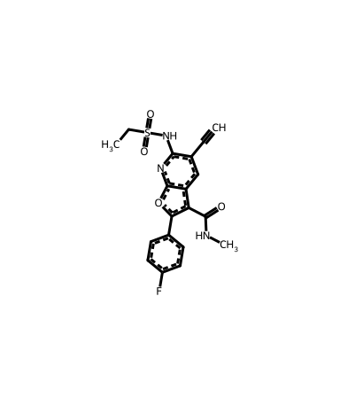 C#Cc1cc2c(C(=O)NC)c(-c3ccc(F)cc3)oc2nc1NS(=O)(=O)CC